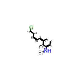 C/C=C(/NCC)[C@@H](C)/C(C)=C\C=C/CCCl